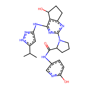 CC(C)c1cc(Nc2nc(N3CCCC3C(=O)Nc3ccc(O)nc3)nc3c2C(O)CC3)n[nH]1